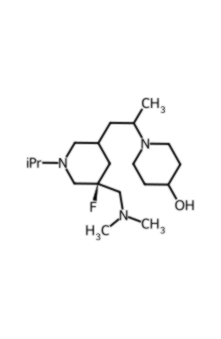 CC(C)N1CC(CC(C)N2CCC(O)CC2)C[C@](F)(CN(C)C)C1